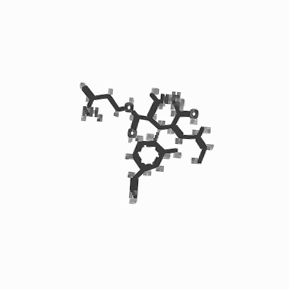 C=C(N)CCOC(=O)/C(=C(\C)N)[C@H](/C(=C/C(C)=C\C)C(N)=O)c1ccc(C#N)cc1C